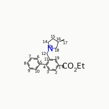 CCOC(=O)c1ccc(-c2ccccc2)c(CN2CC[C@@H](C)C2)c1